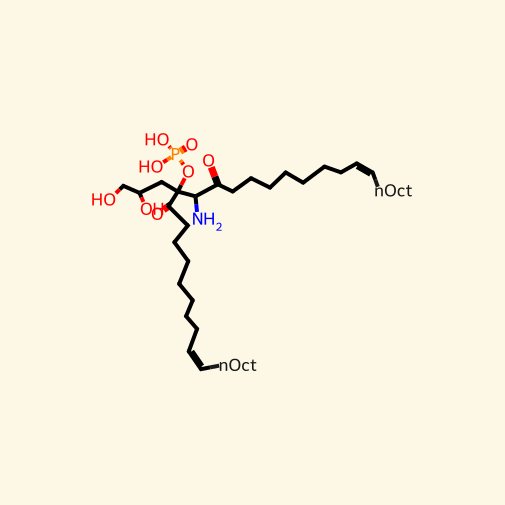 CCCCCCCC/C=C\CCCCCCCC(=O)C(N)C(CC(O)CO)(OP(=O)(O)O)C(=O)CCCCCCC/C=C\CCCCCCCC